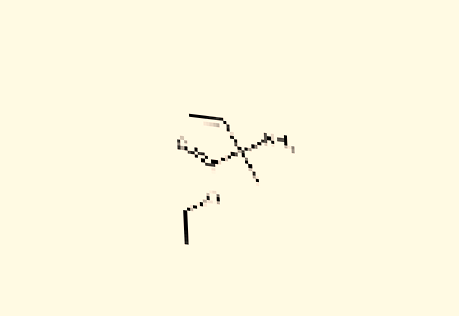 C=CC(C)(N)C(=O)OCC